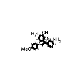 COc1ccc(-n2cc(-c3cncc(N)c3C)c3cc(C#N)c(C)cc32)cc1